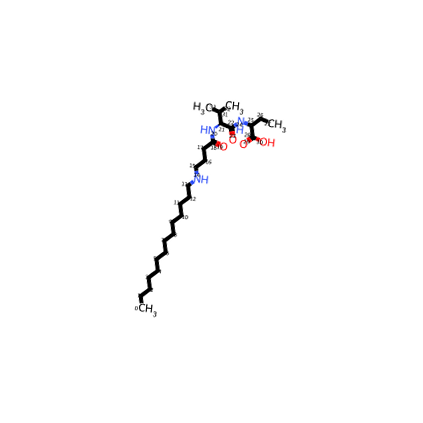 CCCCCCCCCCCCCCNCCCC(=O)N[C@H](C(=O)NC(CC)C(=O)O)C(C)C